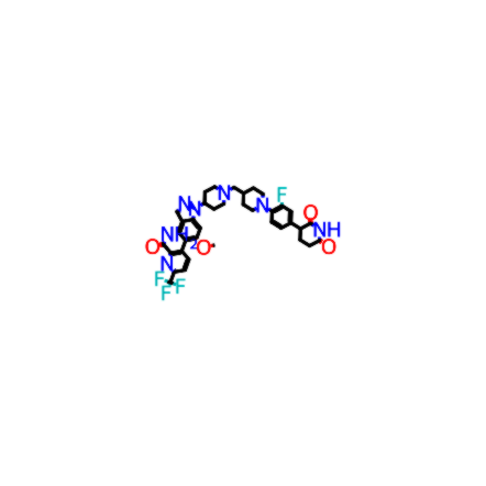 COc1cc2c(cnn2C2CCN(CC3CCN(c4ccc(C5CCC(=O)NC5=O)cc4F)CC3)CC2)cc1-c1ccc(C(F)(F)F)nc1C(N)=O